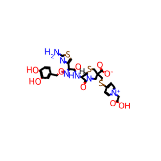 Nc1nc(C(=NOCc2ccc(O)c(O)c2)C(=O)NC2C(=O)N3CC(CSc4cc[n+](CC(=O)O)cc4)(C(=O)[O-])CS[C@H]23)cs1